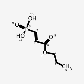 CCCOC(=O)C=CP(=O)(O)O